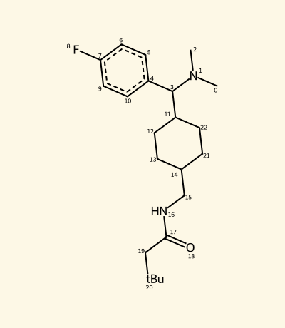 CN(C)C(c1ccc(F)cc1)C1CCC(CNC(=O)CC(C)(C)C)CC1